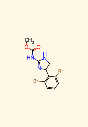 COC(=O)NC1=NC(c2c(Br)cccc2Br)CN1